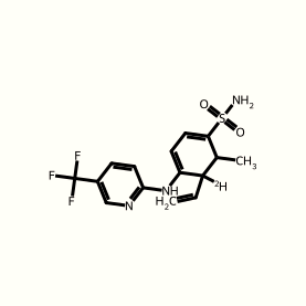 [2H]C1(C=C)C(Nc2ccc(C(F)(F)F)cn2)=CC=C(S(N)(=O)=O)C1C